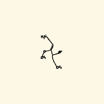 CC=C(OC)C(Br)CC